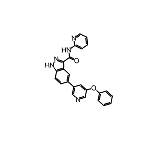 O=C(Nc1ccccn1)c1n[nH]c2ccc(-c3cncc(Oc4ccccc4)c3)cc12